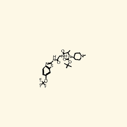 CC(C(=O)NCC(=O)Nc1nc2ccc(OC(F)(F)F)cc2s1)N(C(=O)OC(C)(C)C)C1CCN(C)CC1